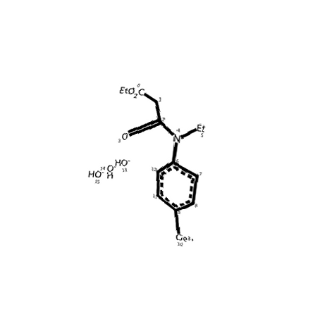 CCOC(=O)CC(=O)N(CC)c1cc[c]([Ge+3])cc1.[OH-].[OH-].[OH-]